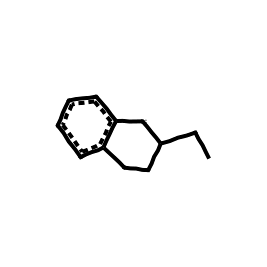 CCC1[C]c2ccccc2CC1